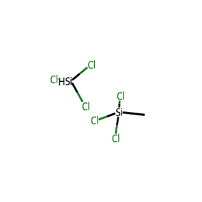 C[Si](Cl)(Cl)Cl.Cl[SiH](Cl)Cl